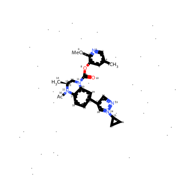 COc1ncc(C)cc1OC(=O)N1C[C@H](C)N(C(C)=O)c2ccc(-c3cnn(C4CC4)c3)cc21